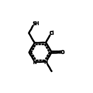 Cn1ncc(CS)c(Cl)c1=O